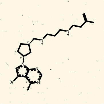 C=C(C)CCNCCCNC[C@@H]1CC[C@H](n2cc(Br)c3c(C)ncnc32)C1